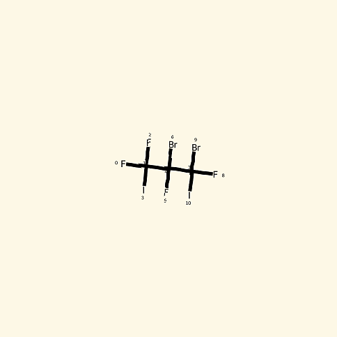 FC(F)(I)C(F)(Br)C(F)(Br)I